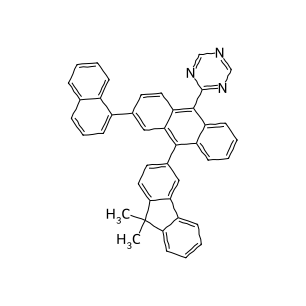 CC1(C)c2ccccc2-c2cc(-c3c4ccccc4c(-c4ncncn4)c4ccc(-c5cccc6ccccc56)cc34)ccc21